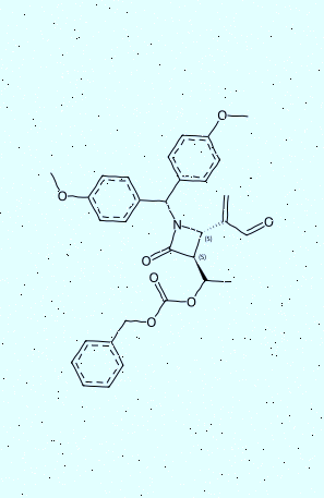 C=C(C=O)[C@@H]1[C@@H](C(C)OC(=O)OCc2ccccc2)C(=O)N1C(c1ccc(OC)cc1)c1ccc(OC)cc1